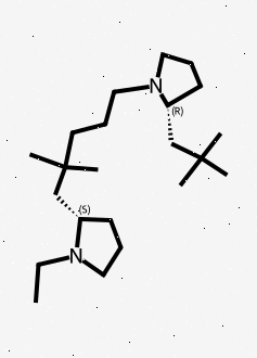 CCN1CCC[C@H]1CC(C)(C)CCCN1CCC[C@@H]1CC(C)(C)C